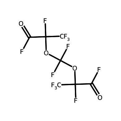 O=C(F)C(F)(OC(F)(F)OC(F)(C(=O)F)C(F)(F)F)C(F)(F)F